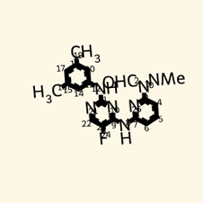 CNN(C=O)c1cccc(Nc2nc(Nc3cc(C)cc(C)c3)ncc2F)n1